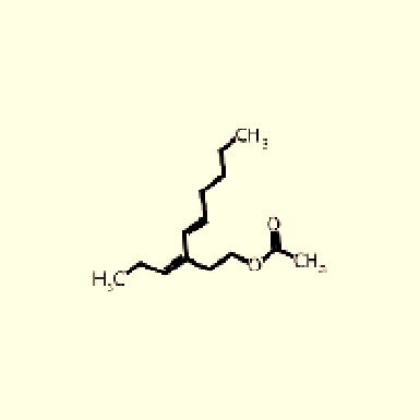 CCC=C(C=CCCCC)CCOC(C)=O